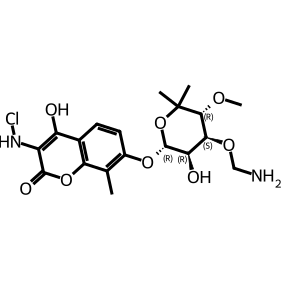 CO[C@@H]1[C@@H](OCN)[C@@H](O)[C@H](Oc2ccc3c(O)c(NCl)c(=O)oc3c2C)OC1(C)C